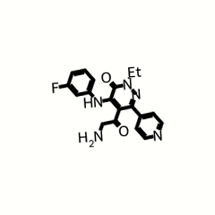 CCn1nc(-c2ccncc2)c(C(=O)CN)c(Nc2cccc(F)c2)c1=O